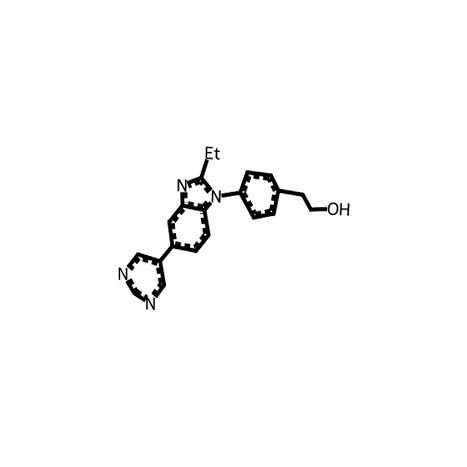 CCc1nc2cc(-c3cncnc3)ccc2n1-c1ccc(CCO)cc1